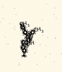 Cc1ccc(S(=O)(=O)n2c(-c3ccc(N4CCN(C)CC4)cc3)cc3c(-c4cccc(-n5ccc6cc(C7CC7)ccc6c5=O)c4CO)ncnc32)cc1